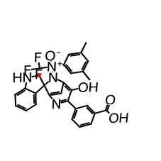 Cc1cc(C)cc([N+]([O-])(N2c3cc(nc(-c4cccc(C(=O)O)c4)c3O)C23CNc2ccccc23)C(F)(F)F)c1